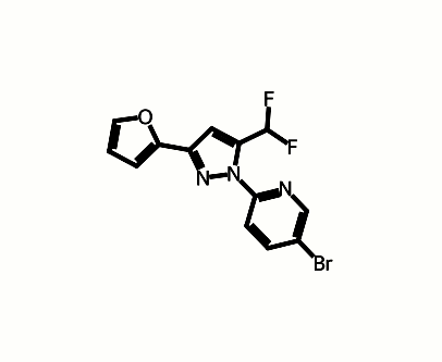 FC(F)c1cc(-c2ccco2)nn1-c1ccc(Br)cn1